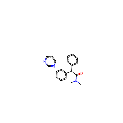 CN(C)C(=O)C(c1ccccc1)c1ccccc1.c1cncnc1